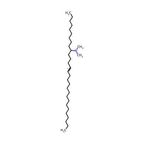 CCCCCCCCCCCCCC/C=C/CCCC(CCCCCCCCC)N(C)C